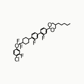 CCCCCC1COC(c2ccc(-c3ccc(C4CCC(C(F)(F)Oc5ccc(Cl)c(F)c5)CC4)c(F)c3)c(F)c2)OC1